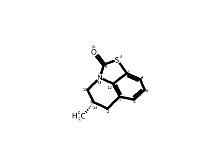 C[C@H]1Cc2cccc3sc(=O)n(c23)C1